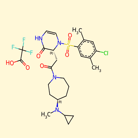 Cc1cc(S(=O)(=O)N2C=CNC(=O)[C@H]2CC(=O)N2CCC[C@@H](N(C)C3CC3)CC2)c(C)cc1Cl.O=C(O)C(F)(F)F